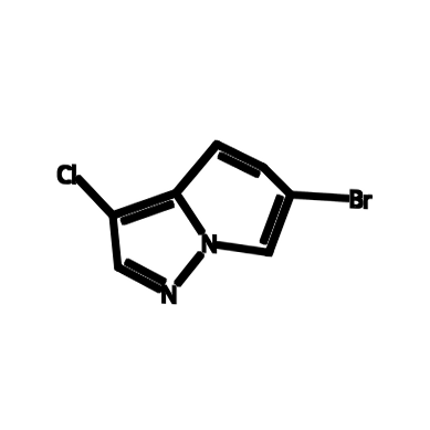 Clc1cnn2cc(Br)ccc12